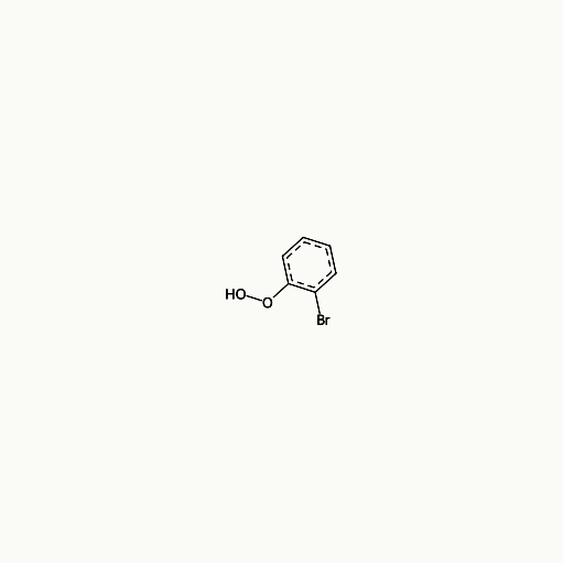 OOc1ccccc1Br